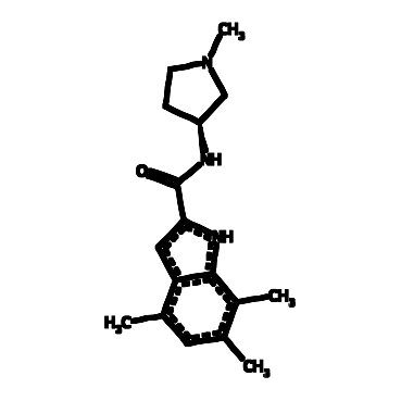 Cc1cc(C)c2cc(C(=O)N[C@H]3CCN(C)C3)[nH]c2c1C